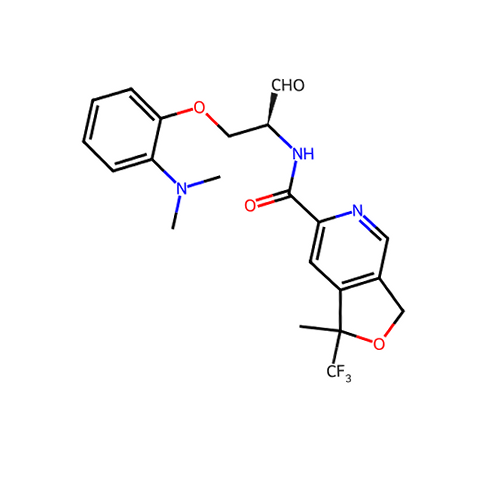 CN(C)c1ccccc1OC[C@@H](C=O)NC(=O)c1cc2c(cn1)COC2(C)C(F)(F)F